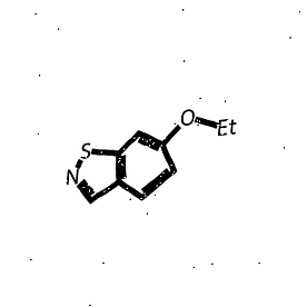 CCOc1ccc2cnsc2c1